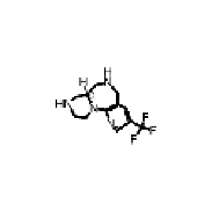 FC(F)(F)c1cnc2c(c1)CNC[C@H]1CNCCN21